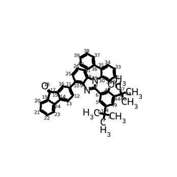 CC(C)(C)c1cc(-c2nc3c(-c4ccc5c(c4)C(=O)c4ccccc4-5)cccc3n2-c2ccccc2-c2ccccc2)c(O)c(C(C)(C)C)c1